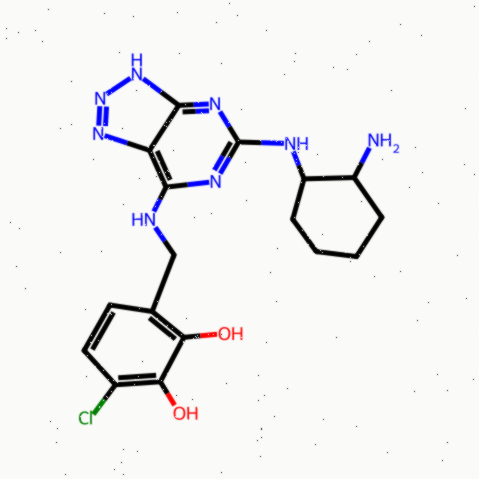 NC1CCCCC1Nc1nc(NCc2ccc(Cl)c(O)c2O)c2nn[nH]c2n1